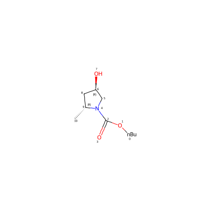 CCCCOC(=O)N1C[C@H](O)C[C@H]1C